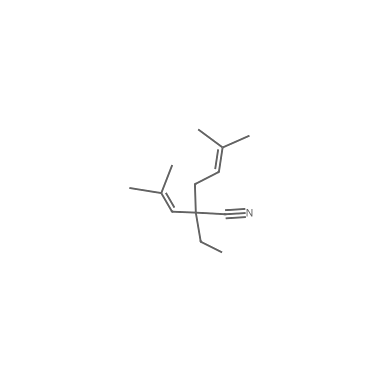 CCC(C#N)(C=C(C)C)CC=C(C)C